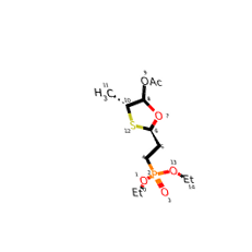 CCOP(=O)(CC[C@@H]1OC(OC(C)=O)[C@@H](C)S1)OCC